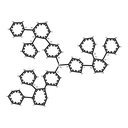 c1ccc(-c2cccc(-c3ccc(N(c4ccc(-c5cccc(-c6ccccc6)c5-c5ccccc5)cc4)c4ccc(-c5cccc(-c6ccccc6)c5-c5ccccc5)cc4)cc3)c2-c2ccccc2)cc1